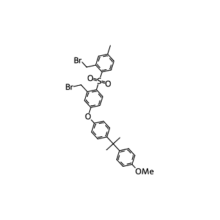 COc1ccc(C(C)(C)c2ccc(Oc3ccc(S(=O)(=O)c4ccc(C)cc4CBr)c(CBr)c3)cc2)cc1